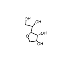 OC[C@@H](O)C1OC[C@H](O)[C@H]1O